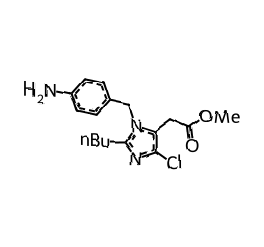 CCCCc1nc(Cl)c(CC(=O)OC)n1Cc1ccc(N)cc1